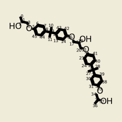 CC(O)COc1ccc(C(C)(C)c2ccc(OCC(O)COc3ccc(C(C)(C)c4ccc(OCC(C)O)cc4)cc3)cc2)cc1